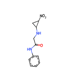 O=C(CNC1CC1[N+](=O)[O-])Nc1ccccc1